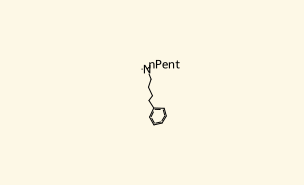 CCCCC[N]CCCCc1ccccc1